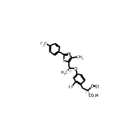 CCO[C@@H](Cc1ccc(O[C@@H](C)c2sc(-c3ccc(C(F)(F)F)cc3)nc2C)cc1CC)C(=O)O